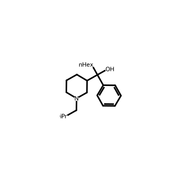 CCCCCCC(O)(c1ccccc1)C1CCCN(C[C](C)C)C1